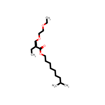 CCOCCOC=C(CC)C(=O)OCCCCCCCC(C)C